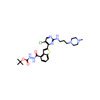 CN1CCN(CCCNc2ncc(Cl)c(-c3cc4c(C(=O)NNC(=O)OC(C)(C)C)cccc4s3)n2)CC1